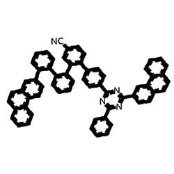 N#Cc1ccc(-c2ccc(-c3nc(-c4ccccc4)nc(-c4ccc5ccc6ccccc6c5c4)n3)cc2)c(-c2ccccc2-c2ccccc2-c2ccc3c(ccc4ccccc43)c2)c1